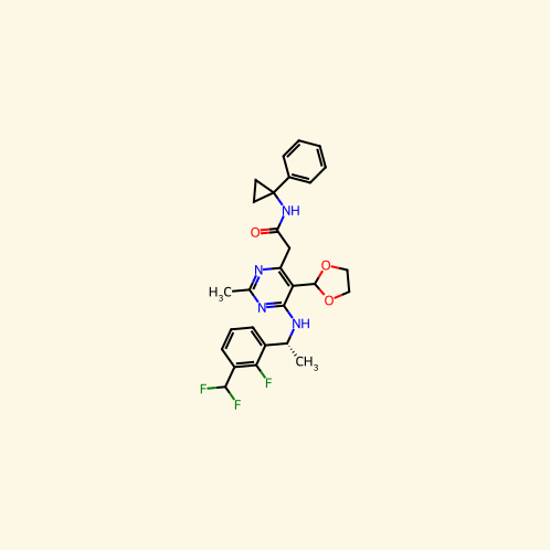 Cc1nc(CC(=O)NC2(c3ccccc3)CC2)c(C2OCCO2)c(N[C@H](C)c2cccc(C(F)F)c2F)n1